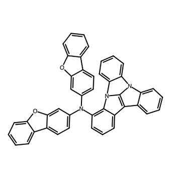 c1ccc2c(c1)oc1cc(N(c3ccc4c(c3)oc3ccccc34)c3cccc4c5c6ccccc6n6c7ccccc7n(c34)c56)ccc12